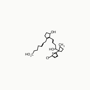 CC1CCC1(c1ccc(Cl)s1)C(O)CC=CC1=C(CC=CCCCC(=O)O)CC[C@H]1O